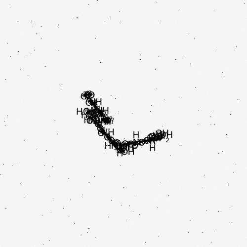 NC(=O)C(Cc1ccc(O)c(O)c1)NC(=O)COCCOCCNC(=O)COCCOCCNC(=O)C(Cc1ccc(O)c(O)c1)NC(=O)COCCOCCNC(=O)COCCOCCNC(=O)[C@H](CO)NC(=O)[C@H](CC(=O)O)NC(=O)[C@@H](CCCCNC(=O)CCN1C(=O)C=CC1=O)NC(=O)CCCc1c[nH]c2ccccc12